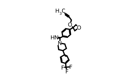 CC#CCOC1(c2ccc(C(=N)N3CCC(c4ccc(C(F)(F)F)cc4)CC3)cc2)COC1